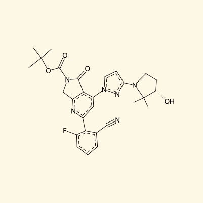 CC(C)(C)OC(=O)N1Cc2nc(-c3c(F)cccc3C#N)cc(-n3ccc(N4CC[C@H](O)C4(C)C)n3)c2C1=O